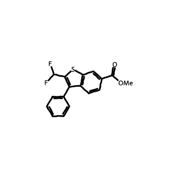 COC(=O)c1ccc2c(-c3ccccc3)c(C(F)F)sc2c1